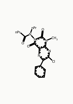 CCCC(=O)N(CCC)n1c(=O)c2nc(-c3ccccc3)c(Cl)nc2n(C)c1=O